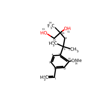 C=Cc1ccc(C(C)(C)CC(O)(CO)C(F)(F)F)c(OC)c1